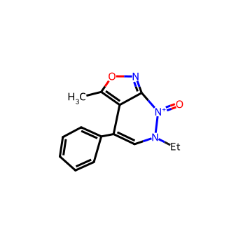 CCn1cc(-c2ccccc2)c2c(C)onc2[n+]1=O